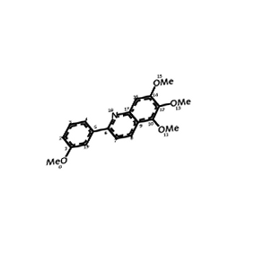 COc1cccc(-c2ccc3c(OC)c(OC)c(OC)cc3n2)c1